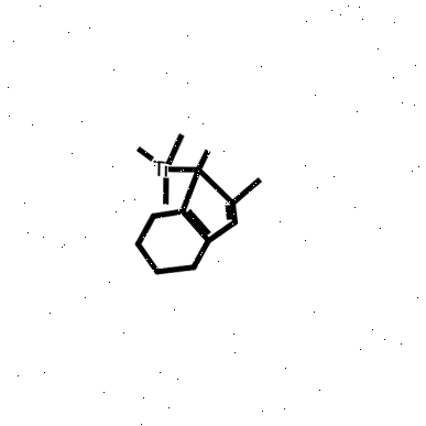 CC1=CC2=C(CCCC2)[C]1(C)[Ti]([CH3])([CH3])[CH3]